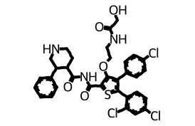 O=C(CO)NCCOc1c(C(=O)NC(=O)C2CCNCC2c2ccccc2)sc(-c2ccc(Cl)cc2Cl)c1-c1ccc(Cl)cc1